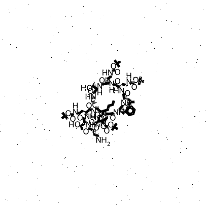 CCCCCC1CC(C(=O)O[C@@H](CCN)C(=O)N[C@H](C(=O)N[C@@H](CCNC(=O)OC(C)(C)C)C(=O)N[C@H]2CCNC(=O)[C@H]([C@H](C)O)NC(O)[C@H](CCNC(=O)OC(C)(C)C)NC(=O)[C@H](CCNC(=O)OC(C)(C)C)NC(=O)[C@H](CC(C)C)NC(=O)[C@@H](Cc3ccccc3)NC(=O)[C@H](CCNC(=O)OC(C)(C)C)NC2=O)C(C)O)C(=O)O1